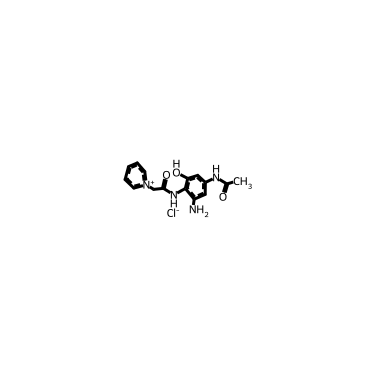 CC(=O)Nc1cc(N)c(NC(=O)C[n+]2ccccc2)c(O)c1.[Cl-]